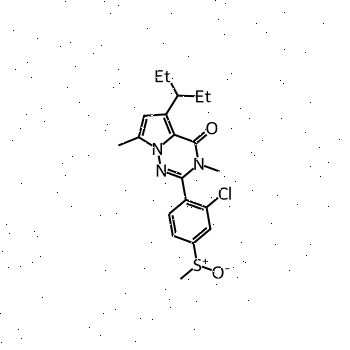 CCC(CC)c1cc(C)n2nc(-c3ccc([S+](C)[O-])cc3Cl)n(C)c(=O)c12